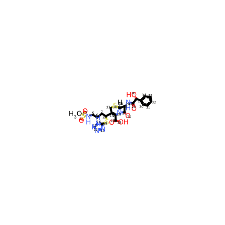 CS(=O)(=O)NCCCC(Sc1nnn[nH]1)C1=C(C(=O)O)N2C(=O)[C@@H](NC(=O)C(O)c3ccccc3)[C@@H]2SC1